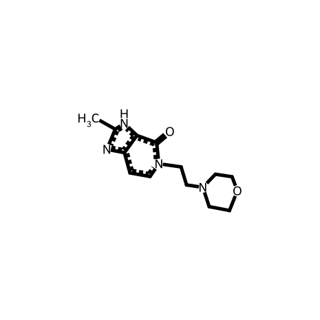 Cc1nc2ccn(CCN3CCOCC3)c(=O)c2[nH]1